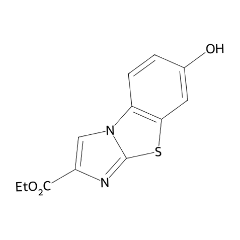 CCOC(=O)c1cn2c(n1)sc1cc(O)ccc12